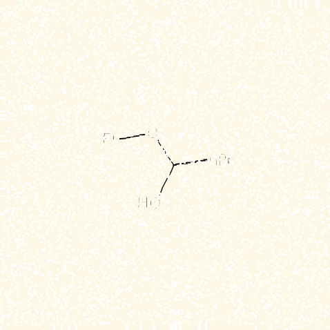 C[CH]OC(O)CCC